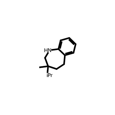 CC(C)C1(C)CCc2ccccc2NC1